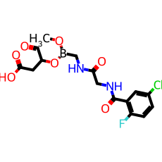 COB(CNC(=O)CNC(=O)c1cc(Cl)ccc1F)OC(C=O)CC(=O)O